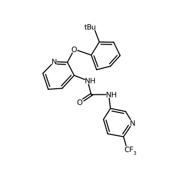 CC(C)(C)c1ccccc1Oc1ncccc1NC(=O)Nc1ccc(C(F)(F)F)nc1